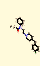 CC(=O)N(CCN1CCC(Cc2ccc(F)cc2)CC1)c1ccccc1